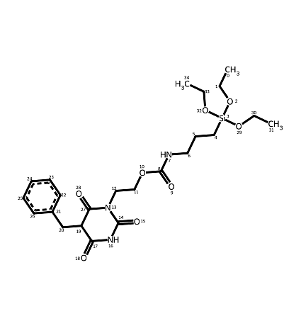 CCO[Si](CCCNC(=O)OCCN1C(=O)NC(=O)C(Cc2ccccc2)C1=O)(OCC)OCC